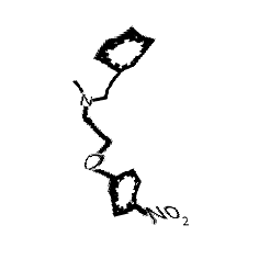 CN(CCOc1ccc([N+](=O)[O-])cc1)Cc1ccccc1